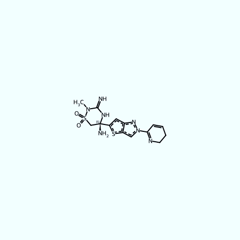 CN1C(=N)N[C@](N)(c2cc3nn(C4=NCCC=C4)cc3s2)CS1(=O)=O